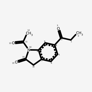 CCC(=O)c1ccc2c(c1)N(C(C)=O)C(=O)C2